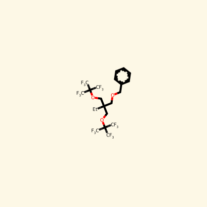 CCC(COCc1ccccc1)(COC(C(F)(F)F)(C(F)(F)F)C(F)(F)F)COC(C(F)(F)F)(C(F)(F)F)C(F)(F)F